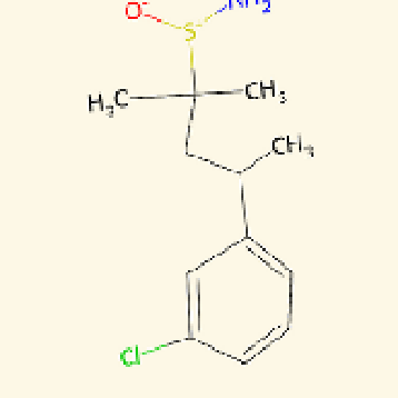 CC(CC(C)(C)[S+](N)[O-])c1cccc(Cl)c1